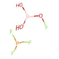 FP(F)F.OB(O)OF